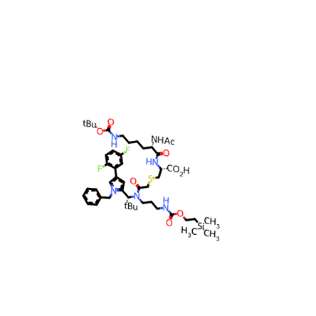 CC(=O)N[C@@H](CCCCNC(=O)OC(C)(C)C)C(=O)N[C@@H](CSCC(=O)N(CCCNC(=O)OCC[Si](C)(C)C)[C@@H](c1cc(-c2cc(F)ccc2F)cn1Cc1ccccc1)C(C)(C)C)C(=O)O